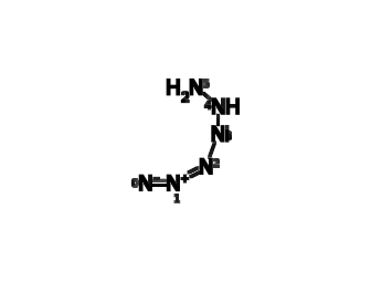 [N-]=[N+]=[N][Ni][NH]N